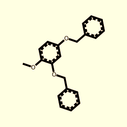 COc1ccc(OCc2ccccc2)cc1OCc1ccccc1